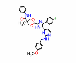 COc1ccc(CNc2nccc(-c3[nH]c(C4OCC(C)(C(=O)Nc5ccccc5)CO4)nc3-c3ccc(F)cc3)n2)cc1